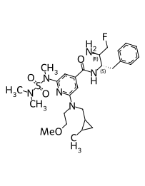 COCCN(CC1CC1C)c1cc(C(=O)N[C@@H](Cc2ccccc2)[C@@H](N)CF)cc(N(C)S(=O)(=O)N(C)C)n1